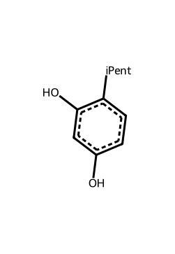 CCCC(C)c1ccc(O)cc1O